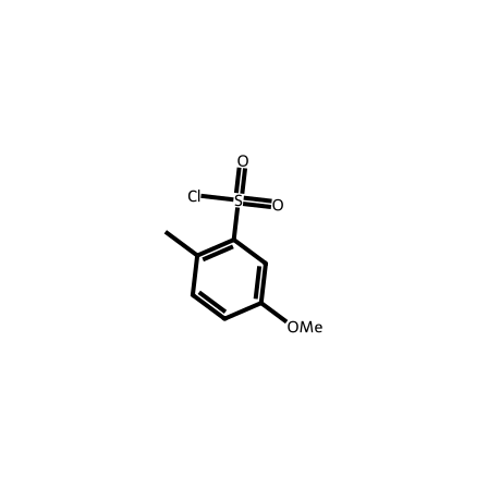 COc1ccc(C)c(S(=O)(=O)Cl)c1